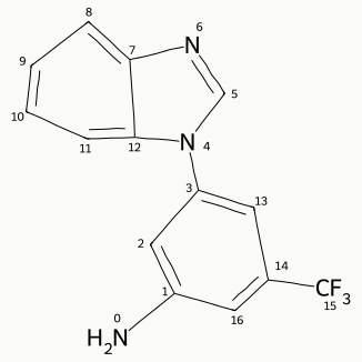 Nc1cc(-n2cnc3ccccc32)cc(C(F)(F)F)c1